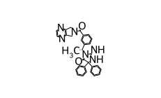 C[C@H](c1cccc(C(=O)N2Cc3nccnc3C2)c1)N1C(=N)NC(c2ccccc2)(c2ccccc2)C1=O